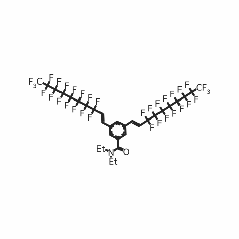 CCN(CC)C(=O)c1cc(C=CC(F)(F)C(F)(F)C(F)(F)C(F)(F)C(F)(F)C(F)(F)C(F)(F)C(F)(F)F)cc(C=CC(F)(F)C(F)(F)C(F)(F)C(F)(F)C(F)(F)C(F)(F)C(F)(F)C(F)(F)F)c1